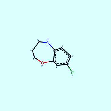 Clc1ccc2c(c1)OCCCN2